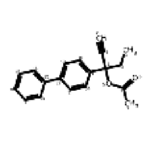 C#CC(CC)(OC(C)=O)c1ccc(-c2ccccc2)cc1